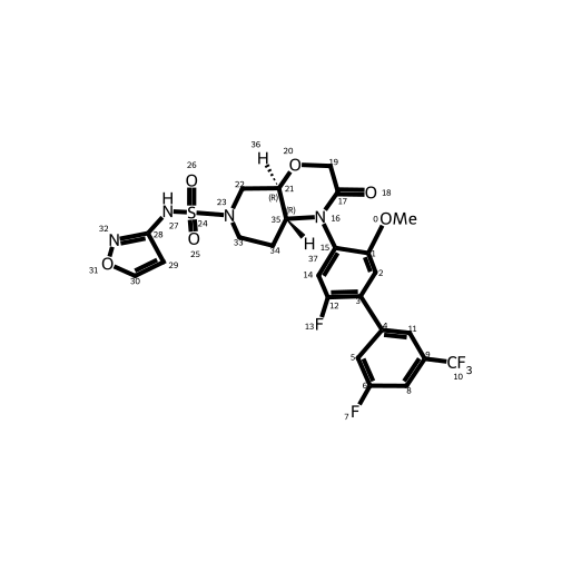 COc1cc(-c2cc(F)cc(C(F)(F)F)c2)c(F)cc1N1C(=O)CO[C@@H]2CN(S(=O)(=O)Nc3ccon3)CC[C@H]21